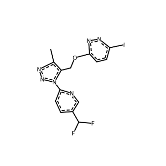 Cc1nnn(-c2ccc(C(F)F)cn2)c1COc1ccc(I)nn1